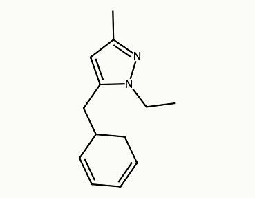 CCn1nc(C)cc1CC1C=CC=CC1